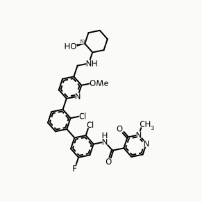 COc1nc(-c2cccc(-c3cc(F)cc(NC(=O)c4ccnn(C)c4=O)c3Cl)c2Cl)ccc1CNC1CCCC[C@@H]1O